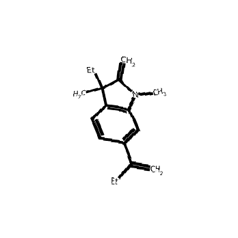 C=C(CC)c1ccc2c(c1)N(C)C(=C)C2(C)CC